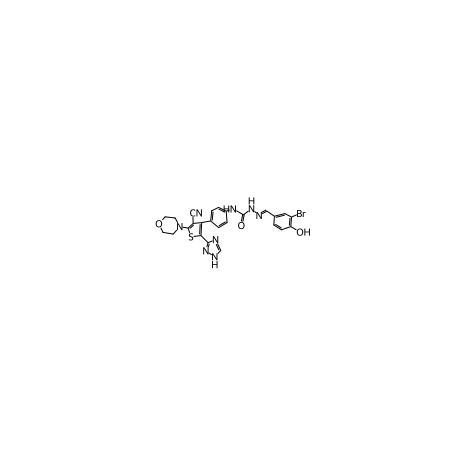 N#Cc1c(N2CCOCC2)sc(-c2nc[nH]n2)c1-c1ccc(NC(=O)N/N=C/c2ccc(O)c(Br)c2)cc1